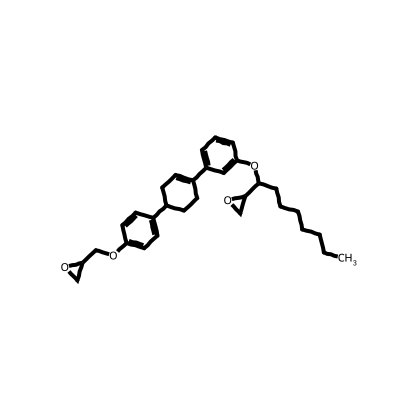 CCCCCCCC(Oc1cccc(C2=CCC(c3ccc(OCC4CO4)cc3)CC2)c1)C1CO1